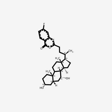 C[C@H](CCc1nc2cc(F)ccc2c(=O)o1)[C@H]1CC[C@H]2[C@H]3C(CC[C@]12C)[C@@]1(C)CC[C@@H](O)C[C@H]1C[C@H]3O